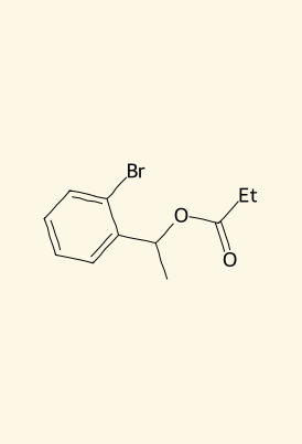 CCC(=O)OC(C)c1ccccc1Br